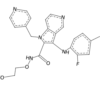 O=C(NOCCO)c1c(Nc2ccc(I)cc2F)c2cnccc2n1Cc1ccncc1